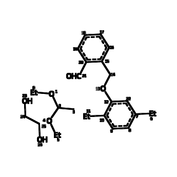 CCOC(C)OCC.CCc1ccc(CC)c(OCc2ccccc2C=O)c1.OCCO